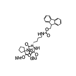 COC(=O)C1(NC(=O)[C@H](CCCCNC(=O)OCC2c3ccccc3-c3ccccc32)NC(=O)OC(C)(C)C)CCCC1